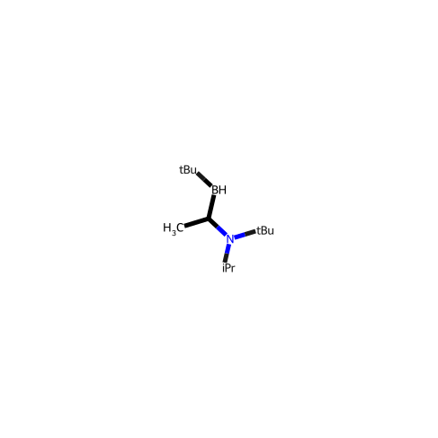 CC(C)N(C(C)BC(C)(C)C)C(C)(C)C